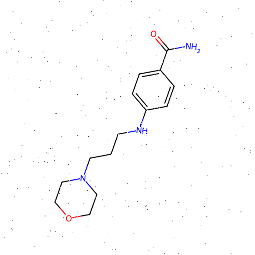 NC(=O)c1ccc(NCCCN2CCOCC2)cc1